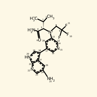 CC(C)[C@@H](C(N)=O)N(CC(F)(F)F)c1cncc(-c2c[nH]c3ncc(N)cc23)c1